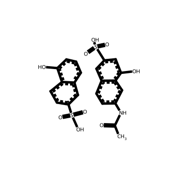 CC(=O)Nc1ccc2cc(S(=O)(=O)O)cc(O)c2c1.O=S(=O)(O)c1ccc2c(O)cccc2c1